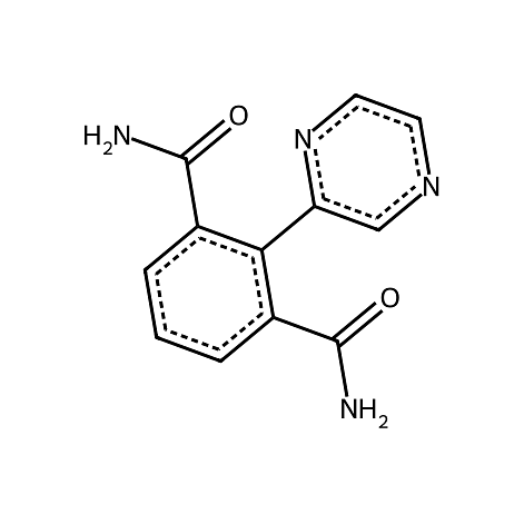 NC(=O)c1cccc(C(N)=O)c1-c1cnccn1